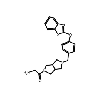 NCC(=O)N1CC2CN(Cc3ccc(Oc4nc5ccccc5s4)cc3)CC2C1